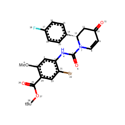 COc1cc(NC(=O)N2C=CC(=O)C[C@H]2c2ccc(F)cc2)c(Br)cc1C(=O)OC(C)(C)C